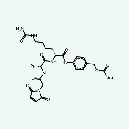 CC(C)[C@@H](NC(=O)CN1C(=O)C=CC1=O)C(=O)N[C@H](CCCCNC(N)=O)C(=O)Nc1ccc(COC(=O)C(C)(C)C)cc1